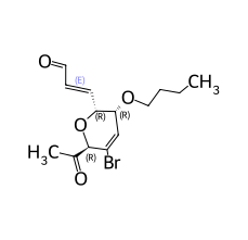 CCCCO[C@@H]1C=C(Br)[C@@H](C(C)=O)O[C@@H]1/C=C/C=O